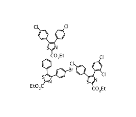 CCOC(=O)c1nc(-c2ccc(Br)cc2)c(-c2ccccc2)s1.CCOC(=O)c1nc(-c2ccc(Cl)cc2)c(-c2ccc(Cl)cc2)s1.CCOC(=O)c1nc(-c2ccc(Cl)cc2Cl)c(-c2ccc(Cl)cc2)s1